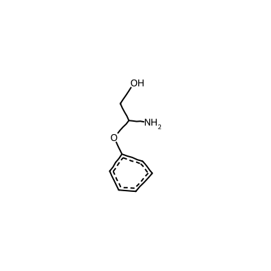 NC(CO)Oc1ccccc1